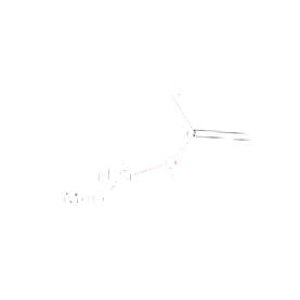 C=C(C)O[SiH2]OC